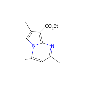 CCOC(=O)c1c(C)cn2c(C)cc(C)nc12